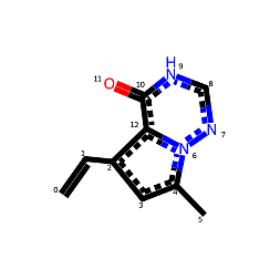 C=Cc1cc(C)n2nc[nH]c(=O)c12